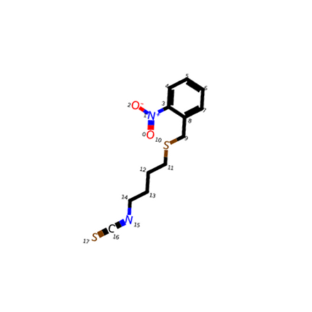 O=[N+]([O-])c1ccccc1CSCCCCN=C=S